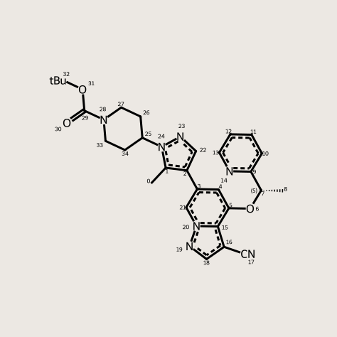 Cc1c(-c2cc(O[C@@H](C)c3ccccn3)c3c(C#N)cnn3c2)cnn1C1CCN(C(=O)OC(C)(C)C)CC1